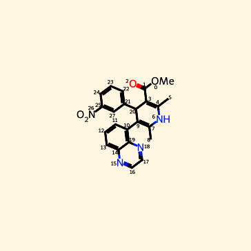 COC(=O)C1=C(C)NC(C)=C(c2cccc3nccnc23)C1c1cccc([N+](=O)[O-])c1